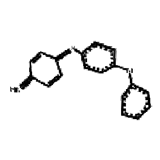 N=C1C=CC(=Nc2ccc(Nc3ccccc3)cc2)C=C1